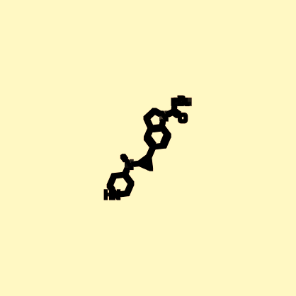 CCCCC(=O)N1CCc2cc(C3CC3N(C)C3CCNCC3)ccc21